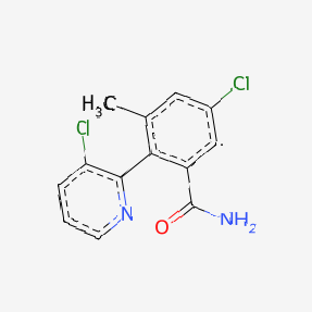 Cc1cc(Cl)[c]c(C(N)=O)c1-c1ncccc1Cl